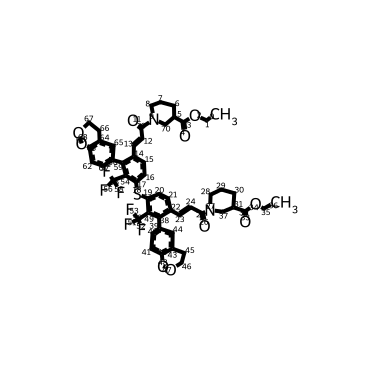 CCOC(=O)C1CCCN(C(=O)/C=C/c2ccc(Sc3ccc(/C=C/C(=O)N4CCCC(C(=O)OCC)C4)c(-c4ccc5c(c4)CCOO5)c3C(F)(F)F)c(C(F)(F)F)c2-c2ccc3c(c2)CCOO3)C1